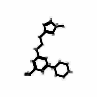 CSc1nc(OCCc2cnn(C)c2)cc(N2CCOCC2)n1